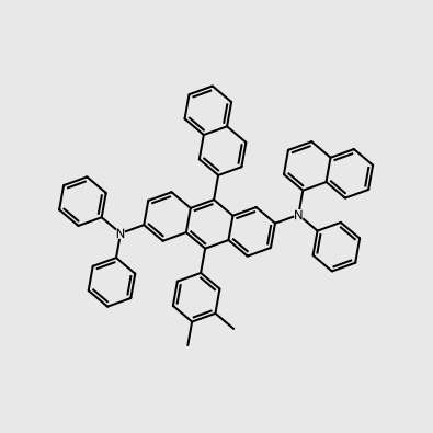 Cc1ccc(-c2c3ccc(N(c4ccccc4)c4cccc5ccccc45)cc3c(-c3ccc4ccccc4c3)c3ccc(N(c4ccccc4)c4ccccc4)cc23)cc1C